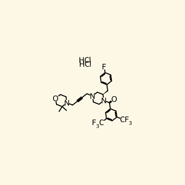 CC1(C)COCCN1CC#CCN1CCN(C(=O)c2cc(C(F)(F)F)cc(C(F)(F)F)c2)[C@H](Cc2ccc(F)cc2)C1.Cl.Cl